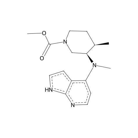 COC(=O)N1CC[C@@H](C)[C@@H](N(C)c2ccnc3[nH]ccc23)C1